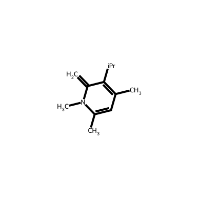 C=C1C(C(C)C)=C(C)C=C(C)N1C